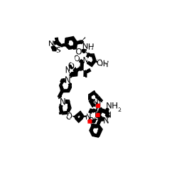 Cc1ncsc1-c1ccc([C@H](C)NC(=O)[C@@H]2C[C@@H](O)CN2C(=O)[C@@H](c2cc(N3CCC(CN4CCC(O[C@H]5C[C@H](N6CCO[C@H](CN7C8CCC7CN(c7cc(C9=C(O)CCC=C9)nnc7N)C8)C6)C5)CC4)CC3)no2)C(C)C)cc1